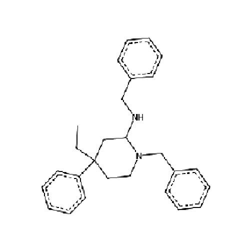 CCC1(c2ccccc2)CCN(Cc2ccccc2)C(NCc2ccccc2)C1